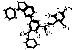 C=C1NC(C)=CC(C)=C1CNC(=C)c1cc(-c2ccc3c(c2)C(N2CCCCC2)CC3)cc(N(CC)C2CCCCC2)c1C